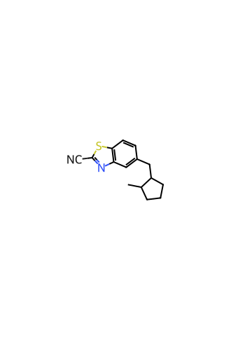 CC1CCCC1Cc1ccc2sc(C#N)nc2c1